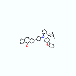 CC1(C)c2ccccc2N(c2ccc(-c3ccc4c(=O)c5ccccc5ccc4c3)cc2)c2cc3oc4ccccc4c3cc21